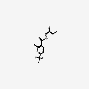 CCC(C)CNC(=O)c1ccc(C(F)(F)F)nc1C